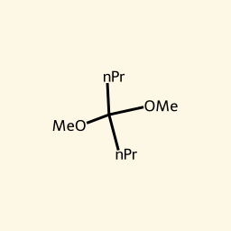 CCCC(CCC)(OC)OC